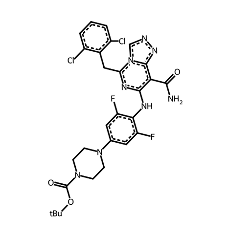 CC(C)(C)OC(=O)N1CCN(c2cc(F)c(Nc3nc(Cc4c(Cl)cccc4Cl)n4cnnc4c3C(N)=O)c(F)c2)CC1